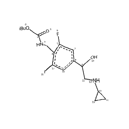 CC(C)COC(=O)Nc1c(F)cc(C(O)CNC2CC2)cc1I